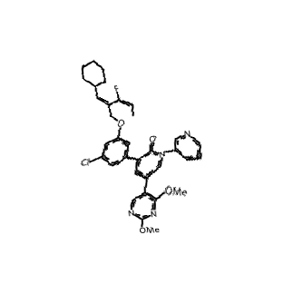 C/C=C(F)\C(=C/C1CCCCC1)COc1cc(Cl)cc(-c2cc(-c3cnc(OC)nc3OC)cn(-c3cccnc3)c2=O)c1